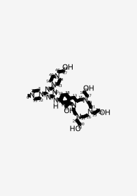 CN1CCN(c2nc(Nc3ccc(CC4CN(CCO)CCN(CCO)CCN(CCO)CCN4CCO)cc3)nc(N3CCN(CCO)CC3)n2)CC1